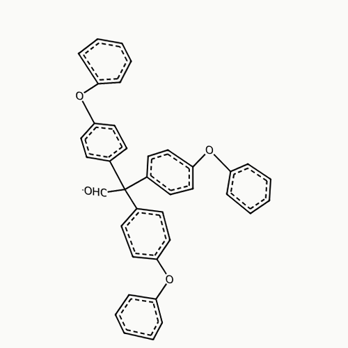 O=[C]C(c1ccc(Oc2ccccc2)cc1)(c1ccc(Oc2ccccc2)cc1)c1ccc(Oc2ccccc2)cc1